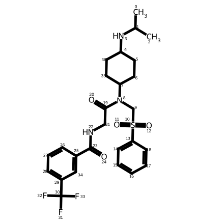 CC(C)NC1CCC(N(CS(=O)(=O)c2ccccc2)C(=O)CNC(=O)c2cccc(C(F)(F)F)c2)CC1